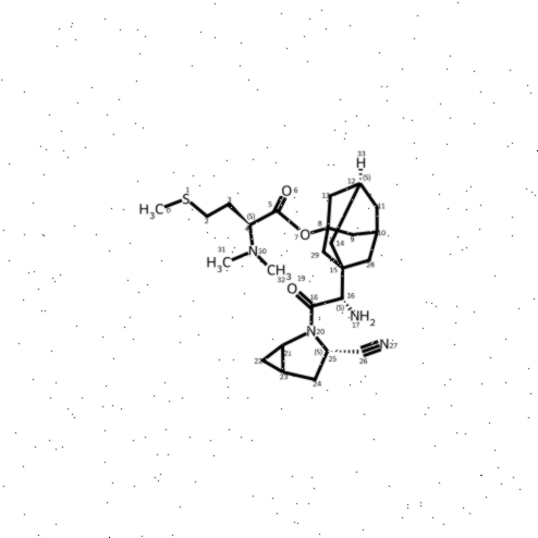 CSCC[C@@H](C(=O)OC12CC3C[C@H](C1)CC([C@H](N)C(=O)N1C4CC4C[C@H]1C#N)(C3)C2)N(C)C